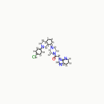 CC1CN(c2cccc3c2CN(c2ccc(Cl)cc2)CC3)CCN1C(=O)Cn1cnc2cccnc21